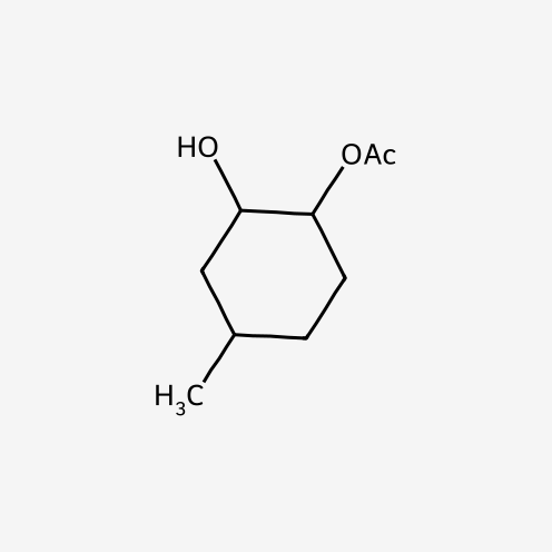 CC(=O)OC1CCC(C)CC1O